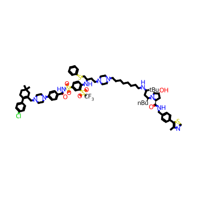 CCCC[C@@H](CC(NCCCCCCCCN1CCN(CCC(CSc2ccccc2)Nc2ccc(S(=O)(=O)NC(=O)c3ccc(N4CCN(CC5=C(c6ccc(Cl)cc6)CCC(C)(C)C5)CC4)cc3)cc2S(=O)(=O)C(F)(F)F)CC1)C(C)(C)C)N1C[C@H](O)C[C@H]1C(=O)NCc1ccc(-c2scnc2C)cc1